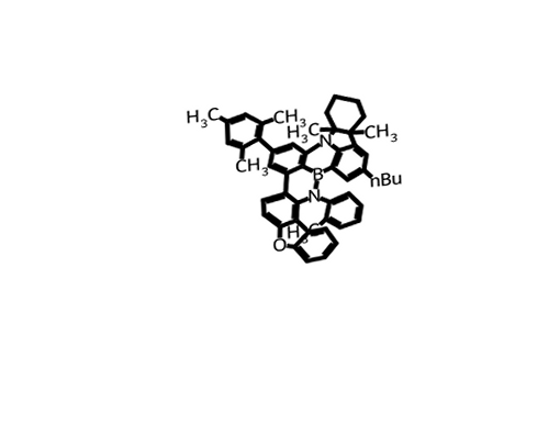 CCCCc1cc2c3c(c1)C1(C)CCCCC1(C)N3c1cc(-c3c(C)cc(C)cc3C)cc3c1B2N(c1ccccc1C)c1c-3ccc2oc3ccccc3c12